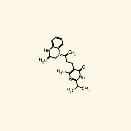 C=C1CN(C(=C)CCc2c(C)nc(C(C)C)[nH]c2=O)c2ccccc2N1